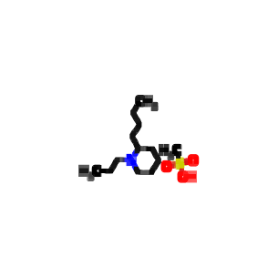 CCCCC1CCCCN1CCC.CS(=O)(=O)O